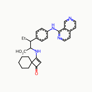 CCC(c1ccc(Nc2nccc3ccncc23)cc1)C(NC1=CC(=O)C12CCCCC2)C(=O)O